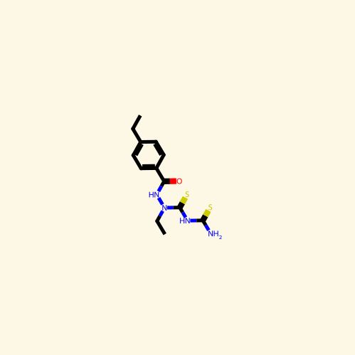 CCc1ccc(C(=O)NN(CC)C(=S)NC(N)=S)cc1